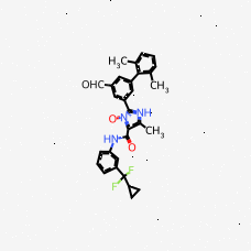 Cc1cccc(C)c1-c1cc(C=O)cc(-c2[nH]c(C)c(C(=O)Nc3cccc(C(F)(F)C4CC4)c3)[n+]2[O-])c1